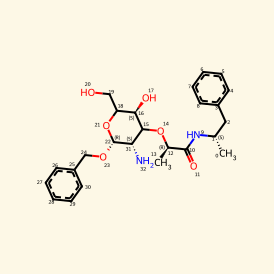 C[C@@H](Cc1ccccc1)NC(=O)[C@@H](C)OC1[C@H](O)C(CO)O[C@@H](OCc2ccccc2)[C@H]1N